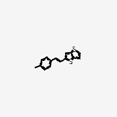 Cc1ccc(/C=C/c2cc3sccc3s2)cc1